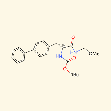 COCNC(=O)[C@@H](Cc1ccc(-c2ccccc2)cc1)NC(=O)OC(C)(C)C